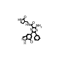 Nc1nc(-c2ccccc2)c(-c2cc(Cl)c3[nH]ncc3c2)nc1C(=O)NCC1CCNC1=O